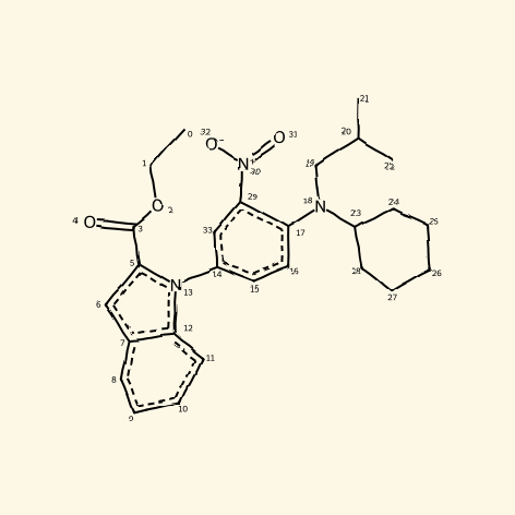 CCOC(=O)c1cc2ccccc2n1-c1ccc(N(CC(C)C)C2CCCCC2)c([N+](=O)[O-])c1